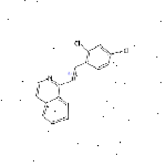 Clc1ccc(/C=C/c2nccc3ccccc23)c(Cl)c1